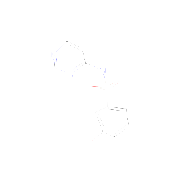 O=S(=O)(Nc1ccncn1)c1cc(O)ccc1F